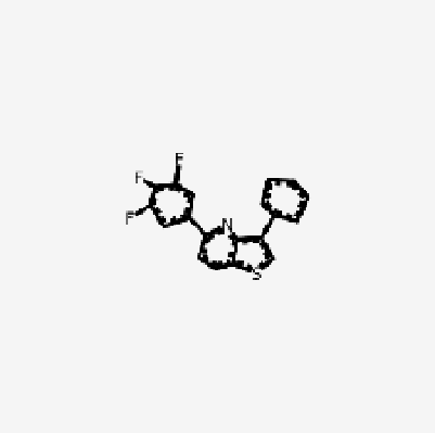 Fc1cc(-c2ccc3scc(-c4ccccc4)c3n2)cc(F)c1F